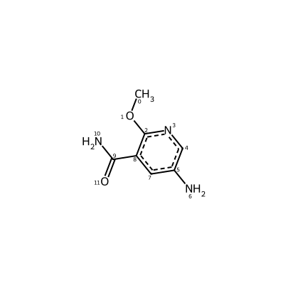 COc1ncc(N)cc1C(N)=O